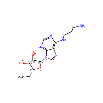 COC[C@H]1O[C@@H](n2cnc3c(NCCCN)ncnc32)[C@H](O)[C@@H]1O